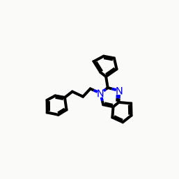 C1=c2ccccc2=NC(c2ccccc2)N1CCCc1ccccc1